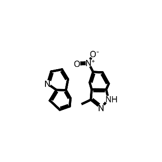 Cc1n[nH]c2ccc([N+](=O)[O-])cc12.c1ccc2ncccc2c1